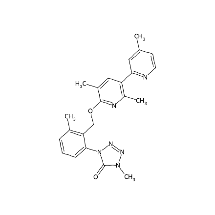 Cc1ccnc(-c2cc(C)c(OCc3c(C)cccc3-n3nnn(C)c3=O)nc2C)c1